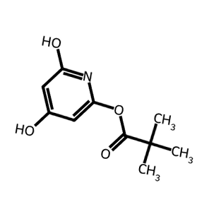 CC(C)(C)C(=O)Oc1cc(O)cc(O)n1